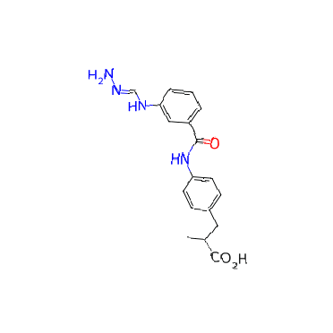 CC(Cc1ccc(NC(=O)c2cccc(NC=NN)c2)cc1)C(=O)O